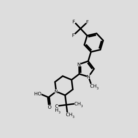 Cn1cc(-c2cccc(C(F)(F)F)c2)nc1C1CCN(C(=O)O)C(C(C)(C)C)C1